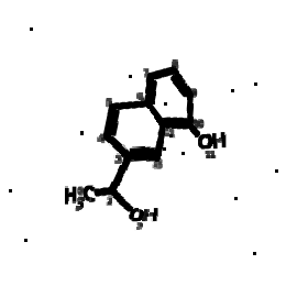 CC(O)c1ccc2cccc(O)c2c1